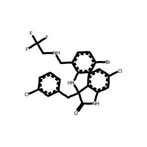 O=C1Nc2cc(Cl)ccc2C1(Cc1cccc(Cl)c1)Nc1cc(Br)ccc1CNCC(F)(F)F